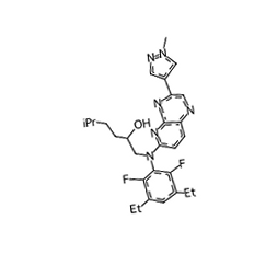 CCc1cc(CC)c(F)c(N(CC(O)CCC(C)C)c2ccc3ncc(-c4cnn(C)c4)nc3n2)c1F